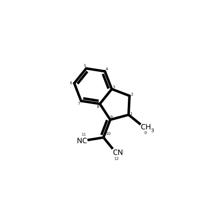 CC1Cc2ccccc2C1=C(C#N)C#N